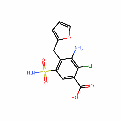 Nc1c(Cl)c(C(=O)O)cc(S(N)(=O)=O)c1Cc1ccco1